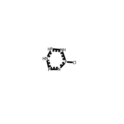 Clp1np[nH][pH][nH]1